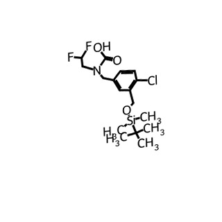 CC(C)(C)[Si](C)(C)OCc1cc(CN(CC(F)F)C(=O)O)ccc1Cl